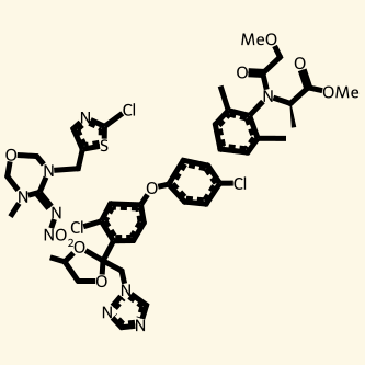 CC1COC(Cn2cncn2)(c2ccc(Oc3ccc(Cl)cc3)cc2Cl)O1.CN1COCN(Cc2cnc(Cl)s2)/C1=N/[N+](=O)[O-].COCC(=O)N(c1c(C)cccc1C)[C@H](C)C(=O)OC